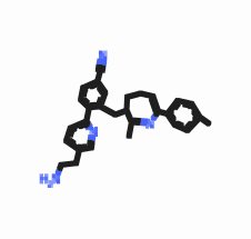 CC1=NC(c2ccc(C)cc2)=CCCC1Cc1cc(C#N)ccc1-c1ccc(CCN)cn1